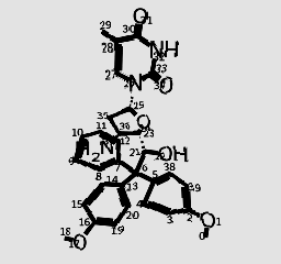 COc1ccc(C(c2ccccc2)(c2ccc(OC)cc2)C(O)[C@H]2O[C@@H](n3cc(C)c(=O)[nH]c3=O)C[C@@H]2N)cc1